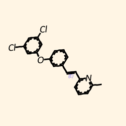 Cc1cccc(/C=C/c2cccc(Oc3cc(Cl)cc(Cl)c3)c2)n1